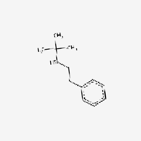 CC(C)(C)[SiH]CCc1ccccc1